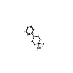 [CH2]CC1(O)CCC(c2ccccc2)CC1